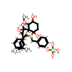 COC1C(O)CCC(O)([S+](Cc2ccccc2)Cc2ccccc2)C1(C)C1(C)OC1CC=C(C)C.[O-][Cl+3]([O-])([O-])[O-]